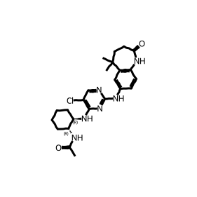 CC(=O)N[C@@H]1CCCC[C@H]1Nc1nc(Nc2ccc3c(c2)C(C)(C)CCC(=O)N3)ncc1Cl